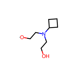 [O]CCN(CCO)C1CCC1